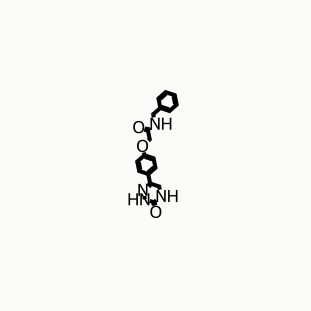 O=C(COc1ccc(C2=NNC(=O)NC2)cc1)NCc1ccccc1